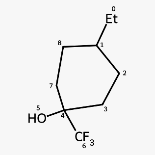 CCC1CCC(O)(C(F)(F)F)CC1